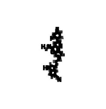 N#Cc1ccc2[nH]cc(CCCN3CCN(c4ncc(-c5ccc(F)cc5F)cc4C(N)=O)CC3)c2c1